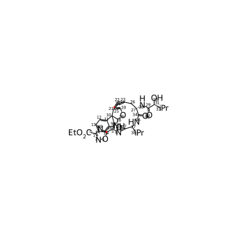 CCOC(=O)c1noc(-c2nc3oc2C24c5ccccc5NC2Oc2ccc(cc24)C[C@H](NC(=O)[C@@H](O)C(C)C)C(=O)N[C@H]3C(C)C)n1